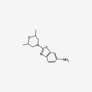 CC1CN(c2nc3ccc(N)cc3s2)CC(C)O1